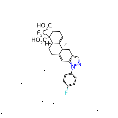 C[C@]12Cc3cnn(-c4ccc(F)cc4)c3C=C1CC[C@H]1C2=CC[C@@H](C(=O)O)[C@]1(C(=O)O)C(F)(F)F